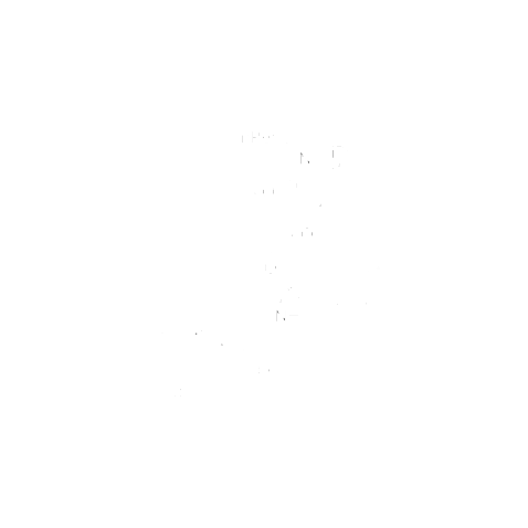 CCCCCN(C(=O)COc1ccccc1C(=O)NCC(=O)c1ccccc1)C(C)C